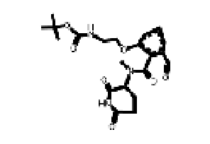 CN(C(=O)c1c(C=O)cccc1OCCNC(=O)OC(C)(C)C)C1CCC(=O)NC1=O